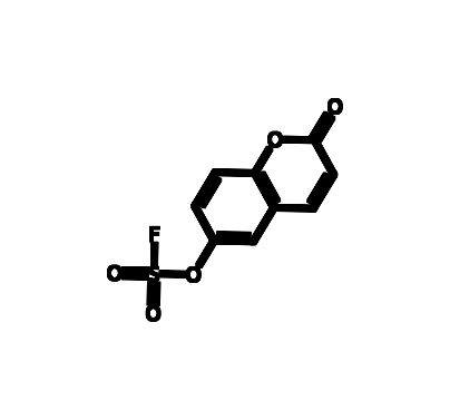 O=c1ccc2cc(OS(=O)(=O)F)ccc2o1